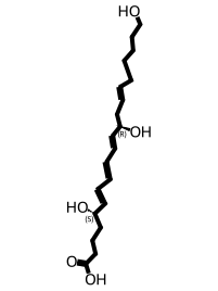 O=C(O)CCC[C@H](O)C=CC=CC=C[C@H](O)CC=CCCCCCO